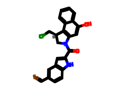 O=C(c1cc2cc(C=S)ccc2[nH]1)N1C[C@@H](CCl)c2c1cc(O)c1ccccc21